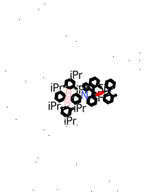 Cc1ccccc1-c1ccccc1[SiH]1c2ccccc2C2(c3ccccc3N(c3ccc4c(c3)B(c3c(C(C)C)cc(C(C)C)cc3C(C)C)c3ccccc3B4c3c(C(C)C)cc(C(C)C)cc3C(C)C)c3ccccc32)c2ccccc21